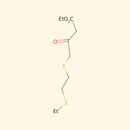 CCOC(=O)CC(=O)CSCCSCC